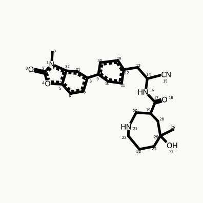 Cn1c(=O)oc2ccc(-c3ccc(CC(C#N)NC(=O)C4CNCCCC(C)(O)C4)cc3)cc21